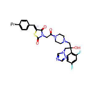 CC(C)c1ccc(/C=C2\SC(=O)N(CC(=O)N3CCN(CC(O)(Cn4cncn4)c4ccc(F)cc4F)CC3)C2=O)cc1